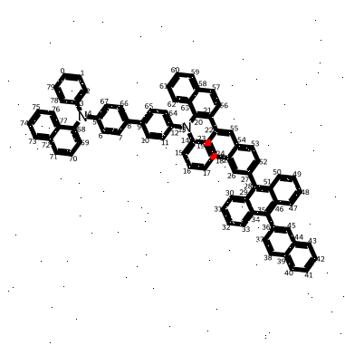 c1ccc(N(c2ccc(-c3ccc(N(c4ccccc4)c4c(-c5ccc6cc(-c7c8ccccc8c(-c8ccc9ccccc9c8)c8ccccc78)ccc6c5)ccc5ccccc45)cc3)cc2)c2cccc3ccccc23)cc1